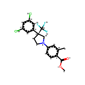 COC(=O)c1ccc(N2CC[C@@](c3cc(Cl)cc(Cl)c3)(C(F)(F)F)C2)cc1C